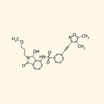 COCCCN1C(=O)c2cccc(NS(=O)(=O)c3cccc(C#Cc4noc(C)c4C)c3)c2C1O